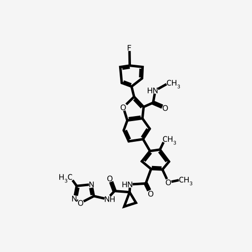 CNC(=O)c1c(-c2ccc(F)cc2)oc2ccc(-c3cc(C(=O)NC4(C(=O)Nc5nc(C)no5)CC4)c(OC)cc3C)cc12